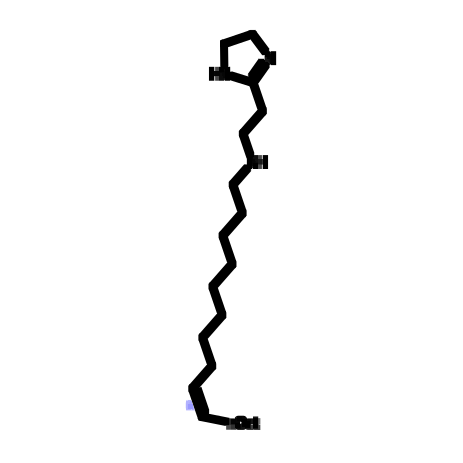 CCCCCCCC/C=C\CCCCCCCCNCCC1=NCCN1